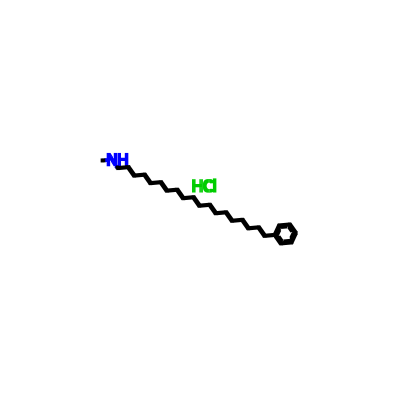 CNCCCCCCCCCCCCCCCCCCCc1ccccc1.Cl